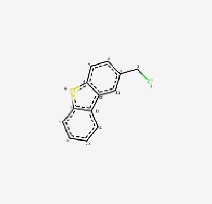 ClCc1ccc2sc3ccccc3c2c1